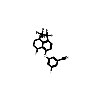 N#Cc1cc(F)cc(Oc2ccc3c4c2C(F)CCC4(O)C(F)(F)C3(F)F)c1